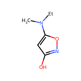 CCN(C)c1cc(O)no1